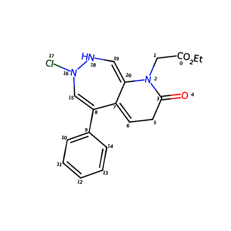 CCOC(=O)CN1C(=O)CC=C2C(c3ccccc3)=CN(Cl)NC=C21